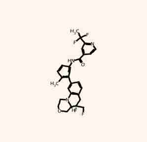 Cc1ccc(NC(=O)c2ccnc(C(C)(F)F)c2)cc1-c1ccc2c(c1)N1CCOC[C@H]1[C@](F)(CF)C2